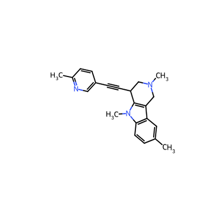 Cc1ccc2c(c1)c1c(n2C)C(C#Cc2ccc(C)nc2)CN(C)C1